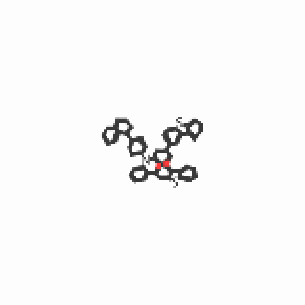 c1cc(-c2ccc3sc4ccccc4c3c2)cc(N(c2ccc(-c3cccc4ccccc34)cc2)c2ccccc2-c2ccc3c(c2)sc2ccccc23)c1